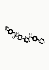 CC(C)Oc1ccc(NC(=O)N2CCN(c3ccnc(Nc4ccc(N5CCOCC5)cc4)n3)CC2)cc1